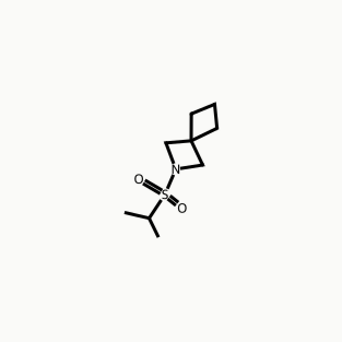 CC(C)S(=O)(=O)N1CC2(CCC2)C1